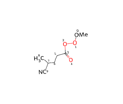 COOOC(=O)CCC(C)C#N